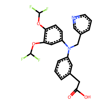 O=C(O)Cc1cccc(N(Cc2cccnc2)c2ccc(OC(F)F)c(OC(F)F)c2)c1